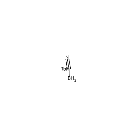 BC#N.[RbH]